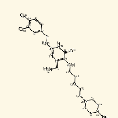 NCc1nc(NCc2ccc(Cl)c(Cl)c2)[nH]c(=O)c1NCCOCCN1CCN(N)CC1